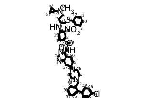 CN(CCC(CSc1ccccc1)Nc1ccc(S(=O)(=O)Nc2ncnc3cc(N4CCN(Cc5ccccc5-c5ccc(Cl)cc5)CC4)ccc23)cc1[N+](=O)[O-])C1CC1